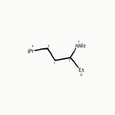 CCC(CCC(C)C)NC